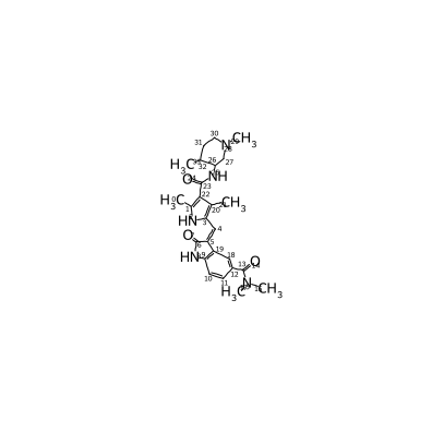 Cc1[nH]c(/C=C2\C(=O)Nc3ccc(C(=O)N(C)C)cc32)c(C)c1C(=O)NC1CN(C)CCC1C